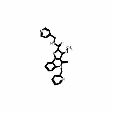 COC1c2c(c3ccccc3n(Cc3ccccn3)c2=O)SC1C(=O)NCc1ccncc1